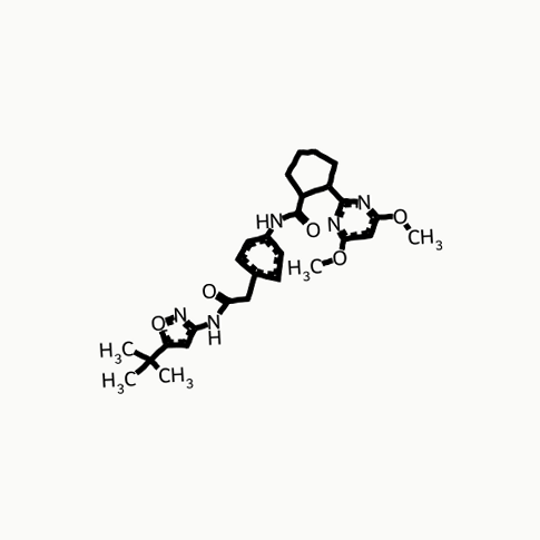 COc1cc(OC)nc(C2CCCCC2C(=O)Nc2ccc(CC(=O)Nc3cc(C(C)(C)C)on3)cc2)n1